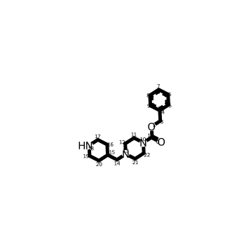 O=C(OCc1ccccc1)N1CCN(CC2CCNCC2)CC1